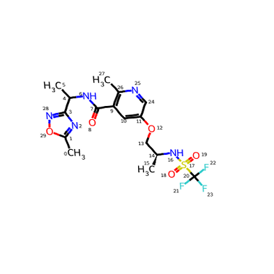 Cc1nc(C(C)NC(=O)c2cc(OC[C@H](C)NS(=O)(=O)C(F)(F)F)cnc2C)no1